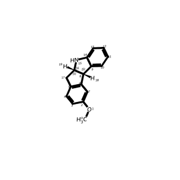 COc1ccc2c(c1)[C@H]1c3ccccc3N[C@H]1C2